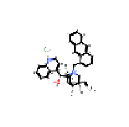 C=C[C@H]1C[N+]2(Cc3cccc4cc5ccccc5cc34)CC[C@H]1C[C@H]2[C@H](O)c1ccnc2ccccc12.[Cl-]